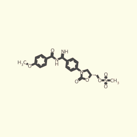 COc1ccc(C(=O)NC(=N)c2ccc(N3C[C@H](COS(C)(=O)=O)OC3=O)cc2)cc1